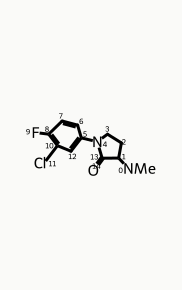 CNC1CCN(c2ccc(F)c(Cl)c2)C1=O